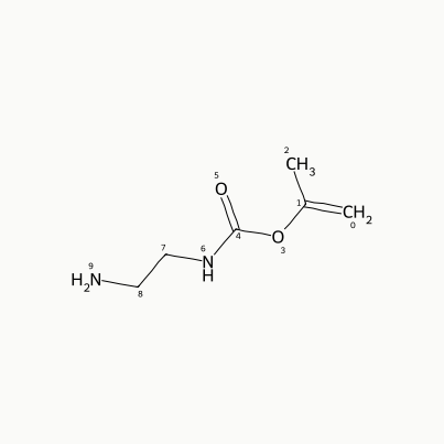 C=C(C)OC(=O)NCCN